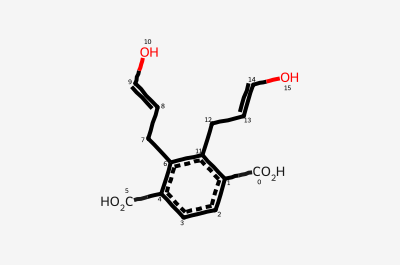 O=C(O)c1ccc(C(=O)O)c(CC=CO)c1CC=CO